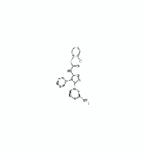 O=C(Cc1ccccc1Cl)Nc1onc(-c2cccc(C(F)(F)F)c2)c1-c1ccncc1